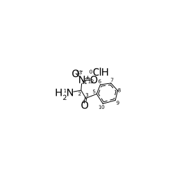 Cl.NC(C(=O)c1ccccc1)[N+](=O)[O-]